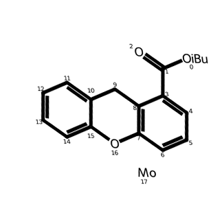 CC(C)COC(=O)c1cccc2c1Cc1ccccc1O2.[Mo]